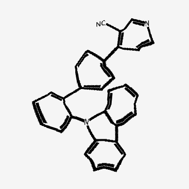 N#Cc1cnccc1-c1ccc(-c2ccccc2-n2c3ccccc3c3ccccc32)cc1